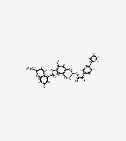 COc1cnc2c(-c3nc4c(C)cc5c(c4s3)OCC(OC(=O)N(C)c3ccc(-c4cccs4)nc3)O5)cc(C)cc2n1